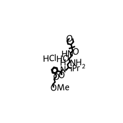 COCCCOc1ccccc1C(=O)NCC(CC(N)C(O)CNC(=O)C(C)(C)C1CCOCC1)C(C)C.Cl